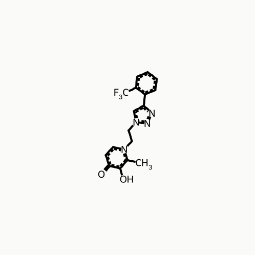 Cc1c(O)c(=O)ccn1CCn1cc(-c2ccccc2C(F)(F)F)nn1